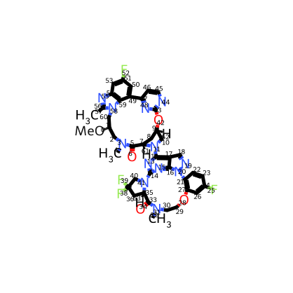 CO[C@@H]1CN(C)C(=O)[C@@H]2C[C@@H](CN2c2nc3nc4c2cnn4-c2ccc(F)cc2OCCN(C)C(=O)[C@@H]2CC(F)(F)CN32)Oc2nccc(n2)-c2cc(F)cc3nc(C)n(c23)C1